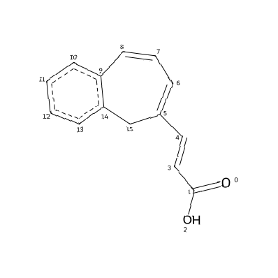 O=C(O)C=CC1=CC=Cc2ccccc2C1